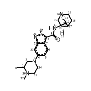 CC1CN(c2ccc3c(C(=O)N[C@H]4CN5CCC4CC5)snc3c2)CCN1C